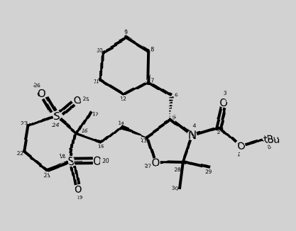 CC(C)(C)OC(=O)N1[C@@H](CC2CCCCC2)[C@H](CCC2(C)S(=O)(=O)CCCS2(=O)=O)OC1(C)C